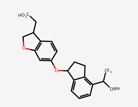 COC(c1cccc2c1CCC2Oc1ccc2c(c1)OCC2CC(=O)O)C(F)(F)F